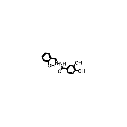 O=C(NN=Cc1ccccc1O)c1ccc(O)c(O)c1